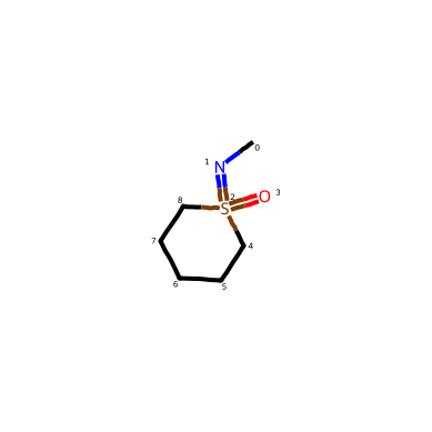 CN=S1(=O)CCCCC1